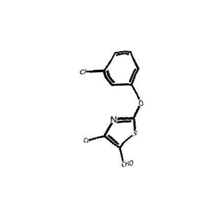 O=Cc1sc(Oc2cccc(Cl)c2)nc1Cl